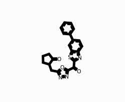 O=C(c1nnc(CC2CCCC2=O)o1)c1nc2ccc(-c3ccccc3)cc2s1